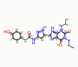 CCCn1c(=O)c2nc(-c3cc(NC(=O)Cc4ccc(O)cc4)nn3C)[nH]c2n(CCC)c1=O